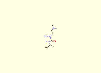 CC(=O)[C@H](C)NC(=O)N(N)CCN(C)C